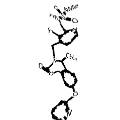 CNS(=O)(=O)Nc1nccc(CN2C(=O)Oc3cc(Oc4cccnn4)ccc3C2C)c1F